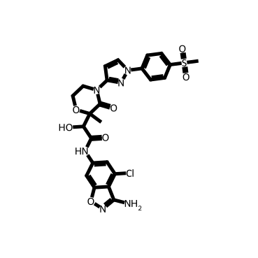 CC1(C(O)C(=O)Nc2cc(Cl)c3c(N)noc3c2)OCCN(c2ccn(-c3ccc(S(C)(=O)=O)cc3)n2)C1=O